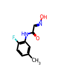 Cc1ccc(F)c(NC(=O)/C=N/O)c1